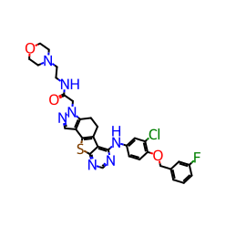 O=C(Cn1ncc2c1CCc1c-2sc2ncnc(Nc3ccc(OCc4cccc(F)c4)c(Cl)c3)c12)NCCN1CCOCC1